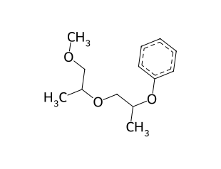 COCC(C)OCC(C)Oc1ccccc1